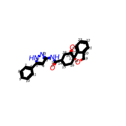 O=C(Nc1cc(-c2ccccc2)[nH]n1)C1CCC2(OCc3ccccc32)C(=O)C1